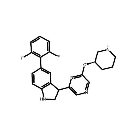 Fc1cccc(F)c1-c1ccc2c(c1)C(c1cncc(O[C@@H]3CCCNC3)n1)CN2